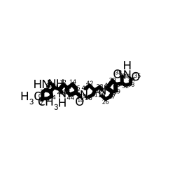 CC1(C)CCC2=C(C1)NNC2c1cc2ccc(C(=O)N3CCC(CN4CCCc5cc(C6CCC(=O)NC6=O)ccc54)CC3)cc2[nH]1